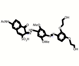 COc1cc(N/N=C2\C(=O)c3ccc(NC(C)=O)cc3C=C2S(=O)(=O)O)c(OC)cc1/N=N/c1ccc(OCCO)cc1OCCO